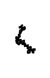 C=C(C)C(=O)OCCCCCOc1cccc(OCCCOC(=O)C(=C)C)c1